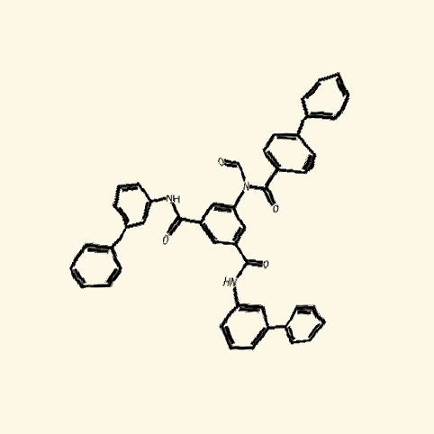 O=CN(C(=O)c1ccc(-c2ccccc2)cc1)c1cc(C(=O)Nc2cccc(-c3ccccc3)c2)cc(C(=O)Nc2cccc(-c3ccccc3)c2)c1